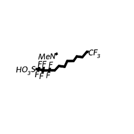 CNC.O=S(=O)(O)C(F)(F)C(F)(F)C(F)(F)CCCCCCCCC(F)(F)F